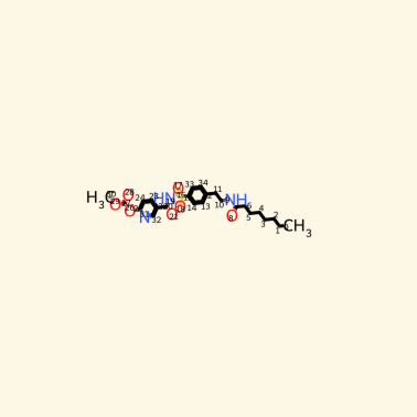 CCCCCCCC(=O)NCCc1ccc(S(=O)(=O)NC(=O)c2ccc(OC(=O)OC)nc2)cc1